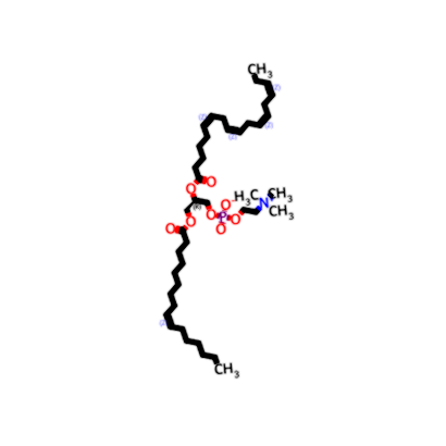 CC/C=C\C/C=C\C/C=C\C/C=C\CCCCC(=O)O[C@H](COC(=O)CCCCCCC/C=C\CCCCCC)COP(=O)([O-])OCC[N+](C)(C)C